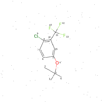 CC(C)(C)Oc1ccc(Cl)c(C(F)(F)F)c1